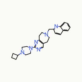 c1ccc2nc(CN3CCc4cnc(N5CCN(C6CCC6)CC5)nc4CC3)ccc2c1